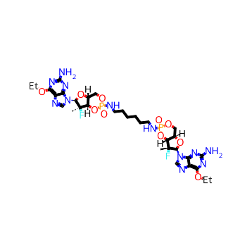 CCOc1nc(N)nc2c1ncn2[C@@H]1O[C@@H]2COP(=O)(NCCCCCCNP3(=O)OC[C@H]4O[C@@H](n5cnc6c(OCC)nc(N)nc65)[C@](C)(F)[C@@H]4O3)O[C@H]2[C@@]1(C)F